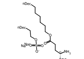 CCCCCCCCCCCCCCCCOC(=O)CC[C@H](N)C(=O)[O-].CCCCCCCCCCCCOS(=O)(=O)[O-].[Na+].[Na+]